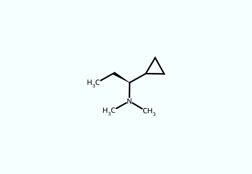 CC[C@@H](C1CC1)N(C)C